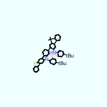 CC(C)(C)c1ccc(Nc2cc3c(cc2-c2ccc4c5cc6sc7ccccc7c6cc5n5c4c2Bc2cc(C(C)(C)C)ccc2-5)C(C)(C)c2ccccc2-3)cc1